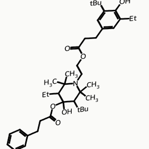 CCc1cc(CCC(=O)OCCN2C(C)(C)C(CC)C(O)(OC(=O)CCc3ccccc3)C(C(C)(C)C)C2(C)C)cc(C(C)(C)C)c1O